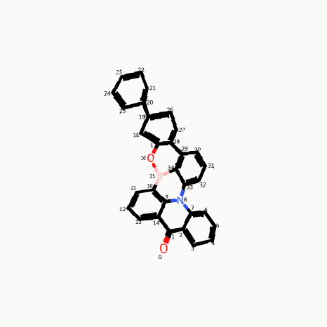 O=c1c2ccccc2n2c3c(cccc13)B1Oc3cc(-c4ccccc4)ccc3-c3cccc-2c31